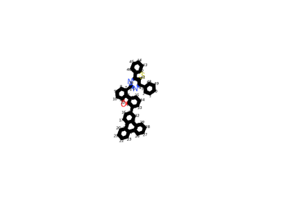 c1ccc(-c2nc(-c3cccc4oc5c(-c6ccc7c8ccccc8c8ccccc8c7c6)cccc5c34)nc3c2sc2ccccc23)cc1